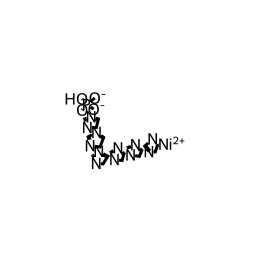 C1=NC=NC1.C1=NC=NC1.C1=NC=NC1.C1=NC=NC1.C1=NC=NC1.C1=NC=NC1.O=P([O-])([O-])O.[Ni+2]